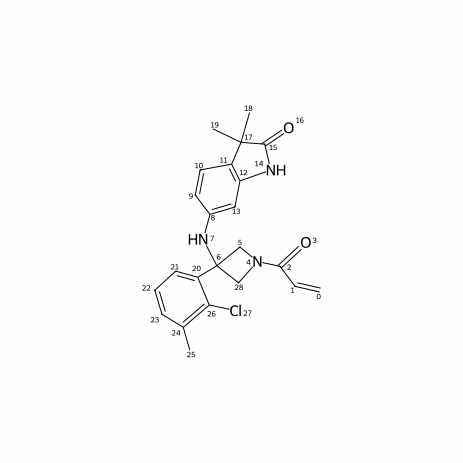 C=CC(=O)N1CC(Nc2ccc3c(c2)NC(=O)C3(C)C)(c2cccc(C)c2Cl)C1